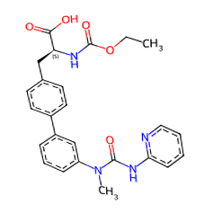 CCOC(=O)N[C@@H](Cc1ccc(-c2cccc(N(C)C(=O)Nc3ccccn3)c2)cc1)C(=O)O